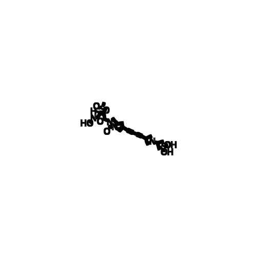 C[C@@](CCN1Cc2cc(C#CC#CC3CN(C4CS(O)(O)C4)C3)cn2C1=O)(C(=O)NO)S(C)(=O)=O